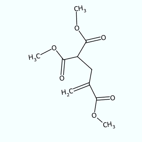 C=C(CC(C(=O)OC)C(=O)OC)C(=O)OC